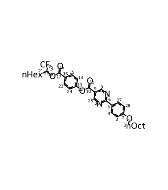 CCCCCCCCOc1ccc(-c2ncc(C(=O)Oc3ccc(C(=O)OC(CCCCCC)C(F)(F)F)cc3)cn2)cc1